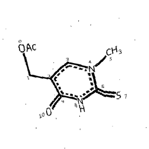 CC(=O)OCc1cn(C)c(=S)[nH]c1=O